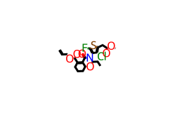 C=CCOC(=O)C1=C(C(=O)N(C(=O)CC)c2c(F)sc(CC(=O)OC)c2Cl)CCCC1